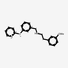 COc1cccc(CCNCc2cccc(Oc3ccccn3)c2)c1